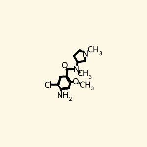 COc1cc(N)c(Cl)cc1C(=O)N(C)C1CCN(C)C1